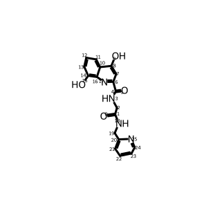 O=C(CNC(=O)c1cc(O)c2cccc(O)c2n1)NCc1ccccn1